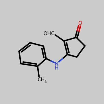 Cc1ccccc1NC1=C(C=O)C(=O)CC1